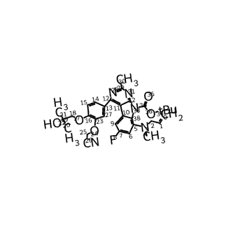 C=CCN(C)c1cc(F)cc2c3c(-c4ccc(OCC(C)(C)O)c(OCC#N)c4)nc(C)nc3n(C(=O)OC(C)(C)C)c12